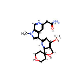 COc1cc(-c2cn(C)c3cnc(CC(N)=O)cc23)nc2c1COC21CCOCC1